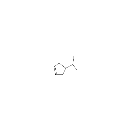 CC(I)C1CC=CC1